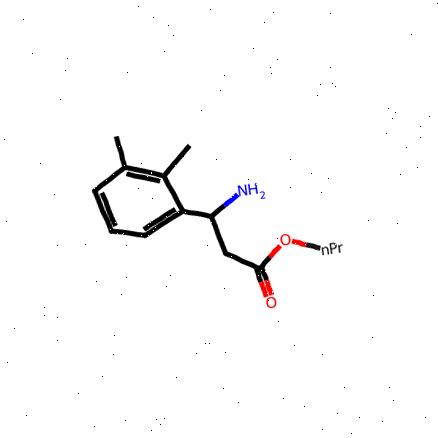 CCCOC(=O)CC(N)c1cccc(C)c1C